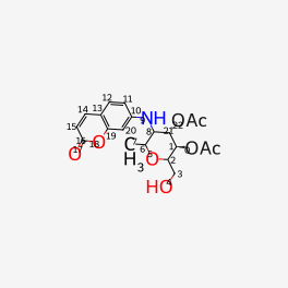 CC(=O)O[C@H]1C(CO)OC(C)C(Nc2ccc3ccc(=O)oc3c2)[C@@H]1OC(C)=O